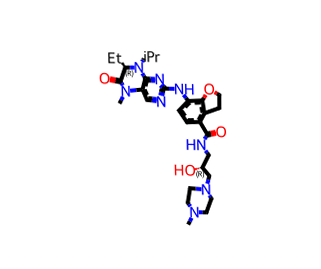 CC[C@@H]1C(=O)N(C)c2cnc(Nc3ccc(C(=O)NC[C@@H](O)CN4CCN(C)CC4)c4c3OCC4)nc2N1C(C)C